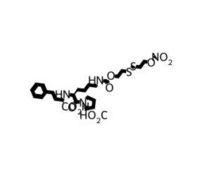 O=C(NCCCC[C@H](N[C@@H](CCc1ccccc1)C(=O)O)C(=O)N1CCC[C@H]1C(=O)O)OCCSSCCO[N+](=O)[O-]